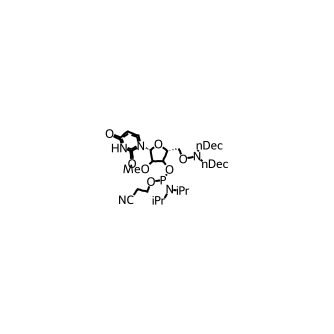 CCCCCCCCCCN(CCCCCCCCCC)OC[C@H]1O[C@@H](n2ccc(=O)[nH]c2=O)C(OC)C1OP(OCCC#N)N(C(C)C)C(C)C